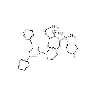 CC1=C(/C=C\N)SC2=C(C=CCC2C2=CC(c3ccccc3)=CC(c3ccccc3)C2)C2=C1C(C)(C)C1=C2CNCC1